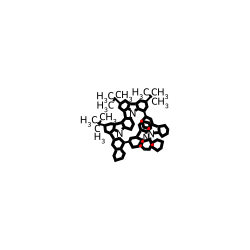 CC(C)(C)c1cc(-c2ccc3c(c2)c2ccccc2n3-c2ccccc2)c2c(c1)c1cc(C(C)(C)C)cc3c4c5c6cc(C(C)(C)C)cc7c8cc9ccccc9c(-c9ccc%10c(c9)c9ccccc9n%10-c9ccccc9)c8n(c5ccc4n2c13)c76